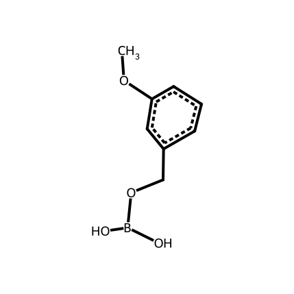 COc1cccc(COB(O)O)c1